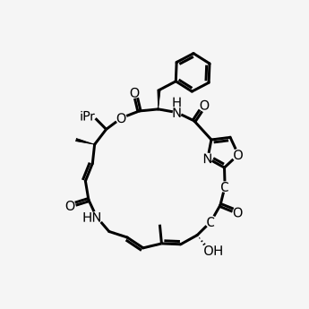 CC1=C\[C@@H](O)CC(=O)Cc2nc(co2)C(=O)N[C@H](Cc2ccccc2)C(=O)OC(C(C)C)[C@H](C)/C=C/C(=O)NC\C=C\1